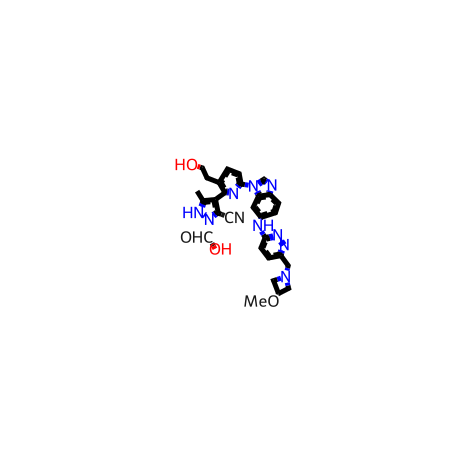 COC1CN(Cc2ccc(Nc3ccc4ncn(-c5ccc(CCO)c(-c6c(C#N)n[nH]c6C)n5)c4c3)nn2)C1.O=CO